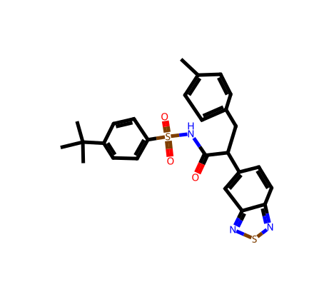 Cc1ccc(CC(C(=O)NS(=O)(=O)c2ccc(C(C)(C)C)cc2)c2ccc3nsnc3c2)cc1